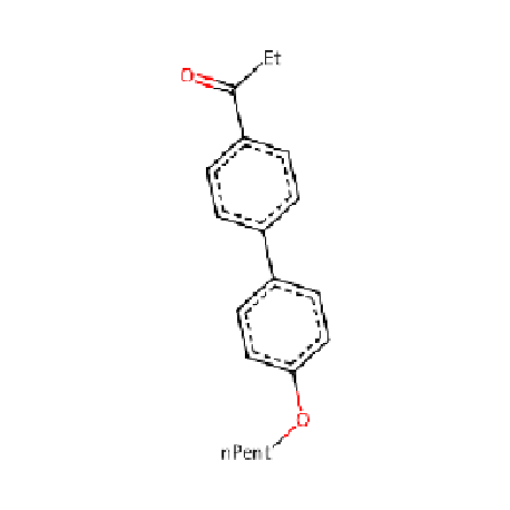 CCCCCOc1ccc(-c2ccc(C(=O)CC)cc2)cc1